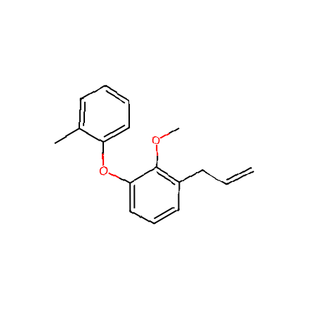 C=CCc1cccc(Oc2ccccc2C)c1OC